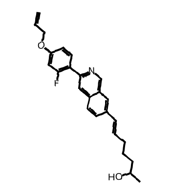 C=CCOc1ccc(-c2cc3ccc(C=CCCCC(C)O)cc3cn2)c(F)c1